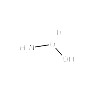 NOO.[Ti]